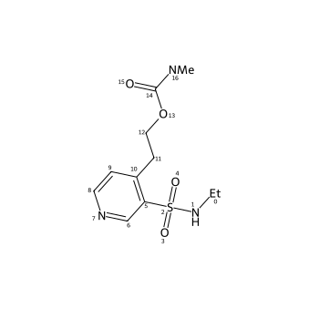 CCNS(=O)(=O)c1cnccc1CCOC(=O)NC